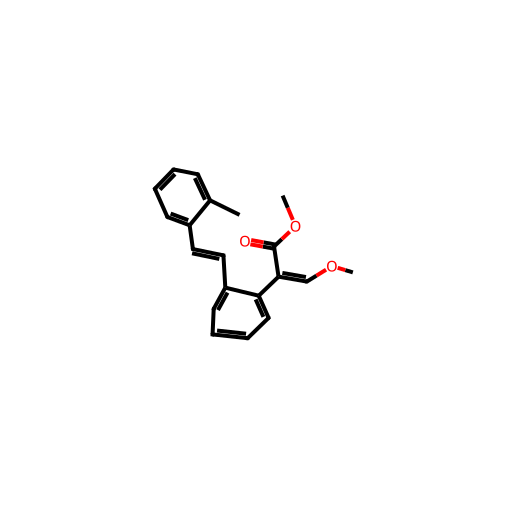 COC=C(C(=O)OC)c1ccccc1C=Cc1ccccc1C